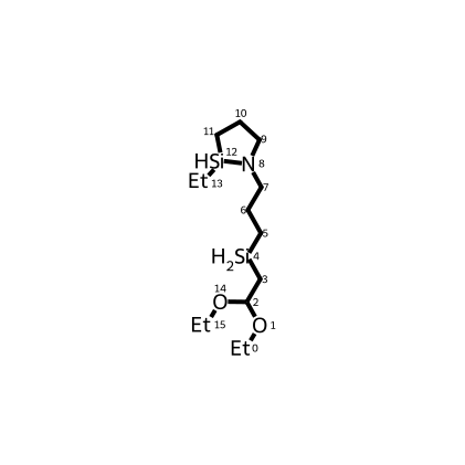 CCOC(C[SiH2]CCCN1CCC[SiH]1CC)OCC